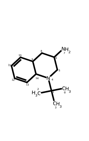 CC(C)(C)N1CC(N)CC2C=CC=CC21